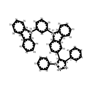 c1ccc(-c2nnn(-c3ccccc3)c2-c2ccc3c(c2)c2ccccc2n3-c2cccc(-n3c4ccccc4c4ccccc43)c2)cc1